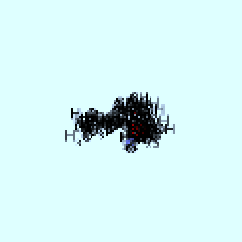 COc1cc(C(Oc2ccc(C(O)C(O)CO)cc2OC)C(O)CO)c(C(CO)C(O)c2ccc(OC(CO)C(O)c3cc(OC)c(OC(c4cc(OC)c5c(c4)C(CO)C(c4ccc(OC(CO)Cc6cc(OC)c(O)c(-c7cc(C(C)=O)cc(OC)c7O)c6)c(OC)c4)O5)C(O)Oc4ccc(C(O)C(CO)Oc5ccc(/C=C/C=O)cc5OC)cc4)c(OC)c3)c(OC)c2)cc1O